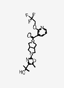 Cc1oc(N2CC3CN(C(=O)c4cccnc4OCC(F)(F)F)CC3C2)nc1C(C)(C)O